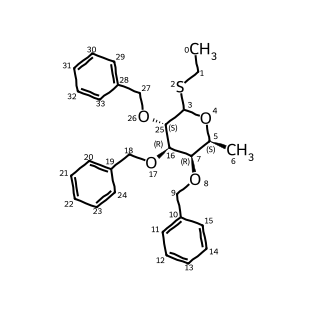 CCSC1O[C@@H](C)[C@@H](OCc2ccccc2)[C@@H](OCc2ccccc2)[C@@H]1OCc1ccccc1